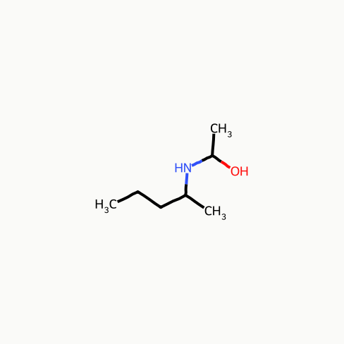 CCCC(C)NC(C)O